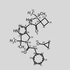 CC1(C)c2[nH]nc(NC(=O)C3(S(C)(C)C)CCC3)c2CN1C(=O)[C@H](OC1CC1)c1ccccc1